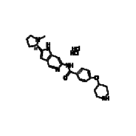 CN1CCC[C@@H]1c1cc2cnc(NC(=O)c3ccc(OC4CCNCC4)cc3)cc2[nH]1.Cl.Cl